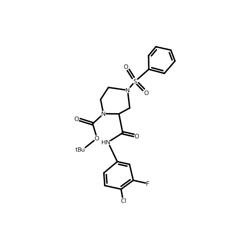 CC(C)(C)OC(=O)N1CCN(S(=O)(=O)c2ccccc2)CC1C(=O)Nc1ccc(Cl)c(F)c1